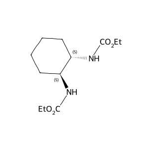 CCOC(=O)N[C@H]1CCCC[C@@H]1NC(=O)OCC